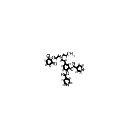 CCCN(CCOc1c(Cl)cccc1Cl)CCc1ccc(OC(=O)c2ccncc2)c(OC(=O)c2ccncc2)c1